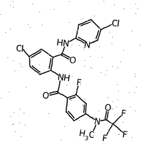 CN(C(=O)C(F)(F)F)c1ccc(C(=O)Nc2ccc(Cl)cc2C(=O)Nc2ccc(Cl)cn2)c(F)c1